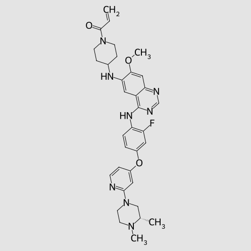 C=CC(=O)N1CCC(Nc2cc3c(Nc4ccc(Oc5ccnc(N6CCN(C)[C@@H](C)C6)c5)cc4F)ncnc3cc2OC)CC1